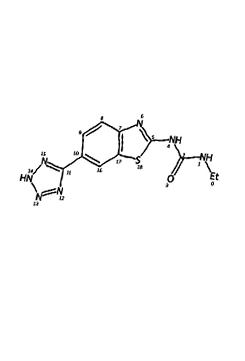 CCNC(=O)Nc1nc2ccc(-c3nn[nH]n3)cc2s1